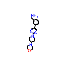 NCc1cccc(-c2cnc(N3CCC(N4CCOCC4)CC3)nc2)c1